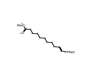 CCCCCCCC=CCCCCCCCCC(=O)OC